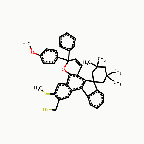 COc1ccc(C2(c3ccccc3)C=Cc3c4c(c5cc(CS)c(SC)cc5c3O2)-c2ccccc2C42CC(C)(C)CC(C)(C)C2)cc1